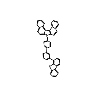 c1cc(-c2ccc(-n3c4ccc5ccccc5c4c4c5ccccc5ccc43)cc2)cc(-c2cccc3c2sc2ccccc23)c1